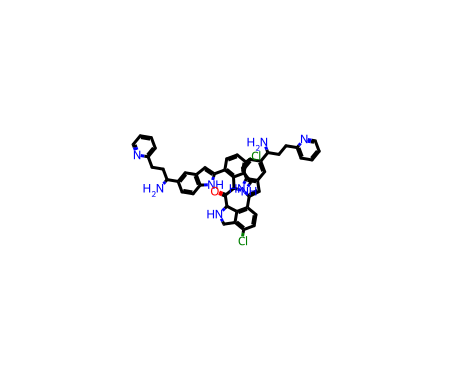 NC(CCc1ccccn1)c1ccc2[nH]c(-c3ccc(Cl)c4c3C(C(=O)C3NCc5c(Cl)ccc(-c6cc7cc(C(N)CCc8ccccn8)ccc7[nH]6)c53)NC4)cc2c1